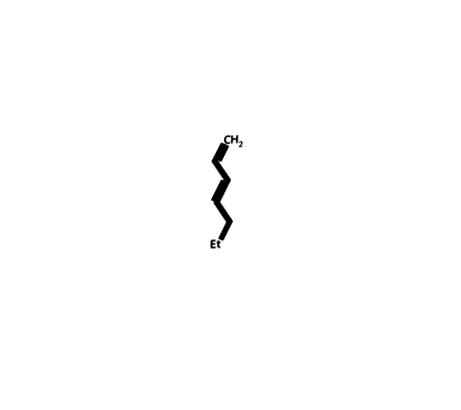 C=C/C=C/CCC